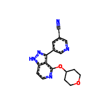 N#Cc1cncc(-c2n[nH]c3ccnc(OC4CCOCC4)c23)c1